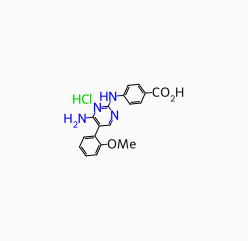 COc1ccccc1-c1cnc(Nc2ccc(C(=O)O)cc2)nc1N.Cl